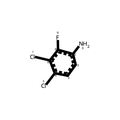 Nc1ccc(Cl)c(Cl)c1F